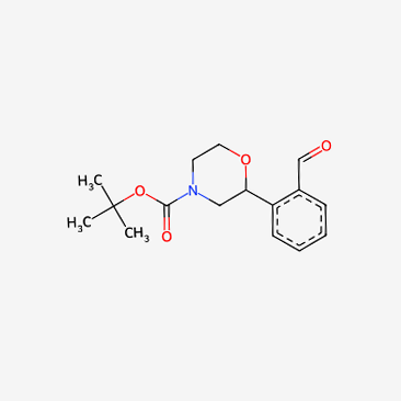 CC(C)(C)OC(=O)N1CCOC(c2ccccc2C=O)C1